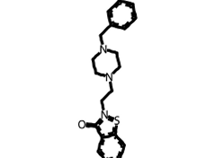 O=c1c2ccccc2sn1CCN1CCN(Cc2ccccc2)CC1